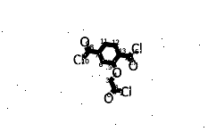 O=C(Cl)COC1CC(C(=O)Cl)CCC1C(=O)Cl